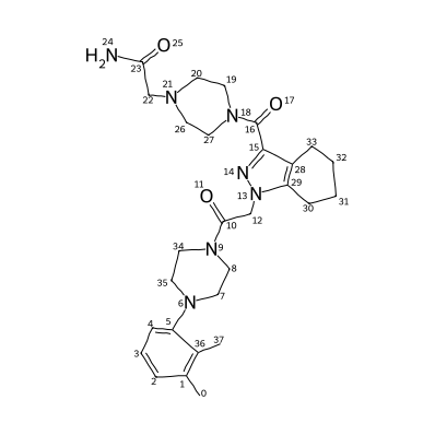 Cc1cccc(N2CCN(C(=O)Cn3nc(C(=O)N4CCN(CC(N)=O)CC4)c4c3CCCC4)CC2)c1C